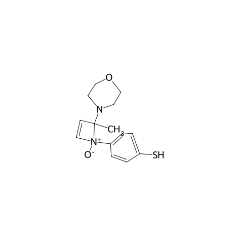 CC1(N2CCOCC2)C=C[N+]1([O-])c1ccc(S)cc1